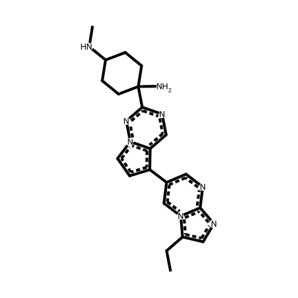 CCc1cnc2ncc(-c3ccn4nc(C5(N)CCC(NC)CC5)ncc34)cn12